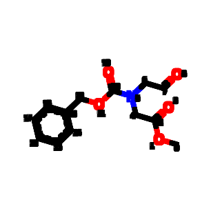 COC(=O)CN(CC=O)C(=O)OCc1ccccc1